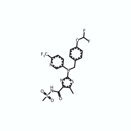 Cc1sc(N(Cc2ccc(OC(F)F)cc2)c2ccc(C(F)(F)F)nc2)nc1C(=O)NS(C)(=O)=O